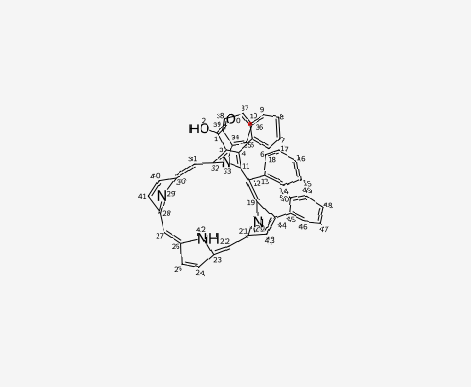 O=C(O)c1c(-c2ccccc2)c2c(-c3ccccc3)c3nc(cc4ccc(cc5nc(cc1n2-c1ccccc1)C=C5)[nH]4)C=C3c1ccccc1